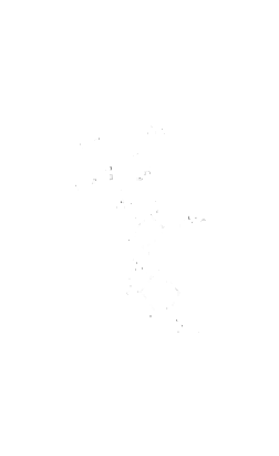 COc1cc(-n2ccc3cc([N+](=O)[O-])ccc32)ccc1O[C@H]1OC(COC(C)=O)[C@@H](OC(C)=O)C(OC(C)=O)[C@H]1OC(C)=O